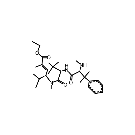 CCOC(=O)/C(C)=C/[C@H](C(C)C)N(C)C(=O)[C@H](NC(=O)[C@@H](NC)C(C)(C)c1ccccc1)C(C)(C)C